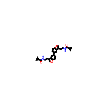 O=C(NCCc1coc2ccc(-c3ccc4occ(CCNC(=O)C5CC5)c4c3)cc12)C1CC1